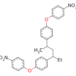 CCC(CC(C)c1ccc(Oc2ccc([N+](=O)[O-])cc2)cc1)c1ccc(Oc2ccc([N+](=O)[O-])cc2)cc1